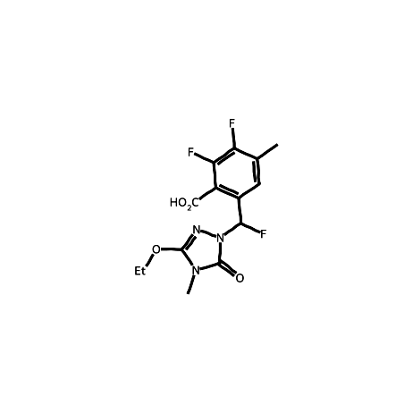 CCOc1nn(C(F)c2cc(C)c(F)c(F)c2C(=O)O)c(=O)n1C